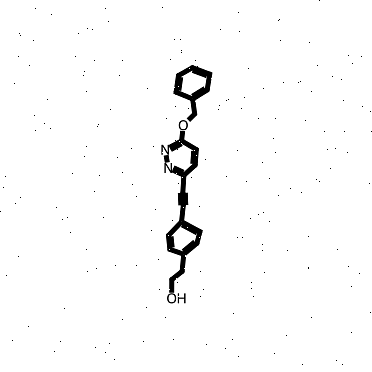 OCCc1ccc(C#Cc2ccc(OCc3ccccc3)nn2)cc1